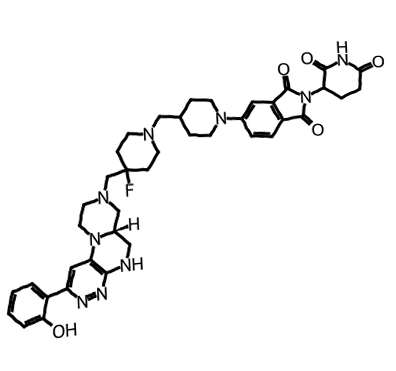 O=C1CCC(N2C(=O)c3ccc(N4CCC(CN5CCC(F)(CN6CCN7c8cc(-c9ccccc9O)nnc8NC[C@H]7C6)CC5)CC4)cc3C2=O)C(=O)N1